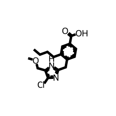 CCCCc1cc(C(=O)O)ccc1Cc1nc(Cl)c(COC)[nH]1